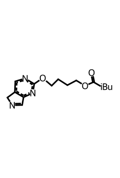 CCC(C)C(=O)OCCCCOc1ncc2c(n1)C=NC2